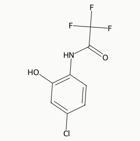 O=C(Nc1ccc(Cl)cc1O)C(F)(F)F